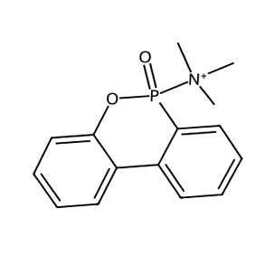 C[N+](C)(C)P1(=O)Oc2ccccc2-c2ccccc21